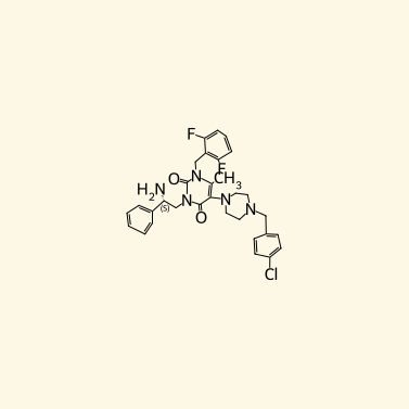 Cc1c(N2CCN(Cc3ccc(Cl)cc3)CC2)c(=O)n(C[C@@H](N)c2ccccc2)c(=O)n1Cc1c(F)cccc1F